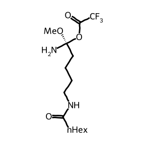 CCCCCCC(=O)NCCCC[C@](N)(OC)OC(=O)C(F)(F)F